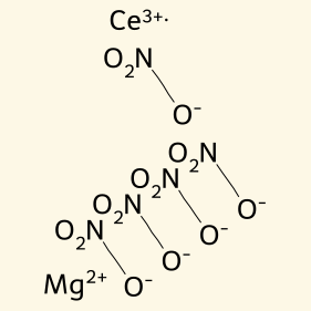 O=[N+]([O-])[O-].O=[N+]([O-])[O-].O=[N+]([O-])[O-].O=[N+]([O-])[O-].O=[N+]([O-])[O-].[Ce+3].[Mg+2]